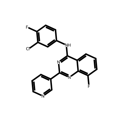 Fc1ccc(Nc2nc(-c3cccnc3)nc3c(F)cccc23)cc1Cl